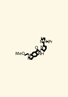 COCCn1ncc2cc3[nH]n(-c4cccc(-c5nncn5C(C)C)n4)c(=O)c3cc21